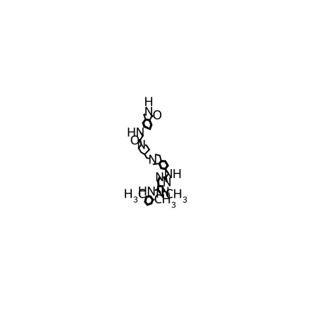 Cc1cccc(C)c1Nc1nn(C)c2nc(Nc3ccc4c(c3)CN(CC3CCN(C(=O)CNc5ccc6c(c5)CNC6=O)CC3)CC4)ncc12